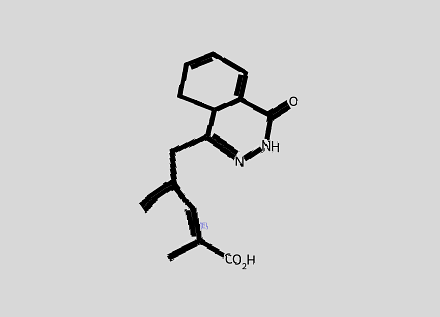 C=C(/C=C(\C)C(=O)O)CC1=NNC(=O)C2=CC=CCC21